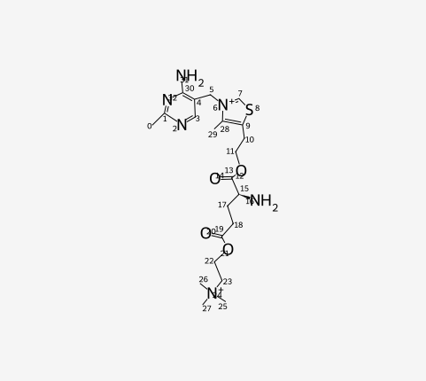 Cc1ncc(C[n+]2csc(CCOC(=O)[C@@H](N)CCC(=O)OCC[N+](C)(C)C)c2C)c(N)n1